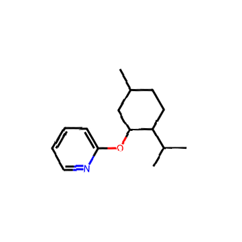 CC1CCC(C(C)C)C(Oc2ccccn2)C1